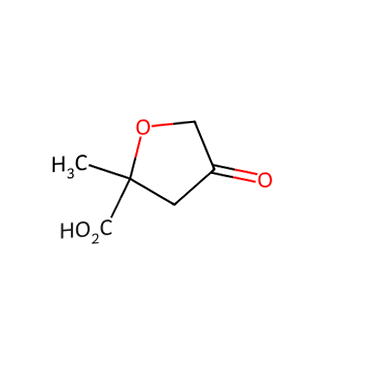 CC1(C(=O)O)CC(=O)CO1